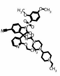 CCOc1ncccc1C1(NC(=O)N2CCN(C3CCN(CC)CC3)CC2)C(=O)N(S(=O)(=O)c2ccc(OC)cc2OC)c2ccc(C#N)cc21